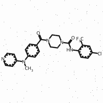 CN(c1ccncc1)c1ccc(C(=O)N2CCN(C(=O)Nc3ccc(Cl)cc3C(F)(F)F)CC2)cc1